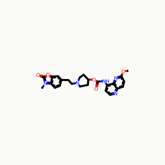 COc1ccc2nccc(NC(=O)OC3CCN(CCc4ccc5c(c4)oc(=O)n5C)CC3)c2n1